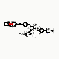 COC(=O)NC(C(=O)N[C@@H](Cc1ccc(C#Cc2ccc(N3CC4CCC(C3)N4C3(C)COC3)nc2)cc1)[C@@H](O)CNCc1c(F)cc(C(=N)/C=C\NC(F)F)cc1F)C(C)(C)C(F)(F)F